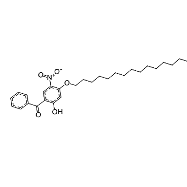 CCCCCCCCCCCCCCCOc1cc(O)c(C(=O)c2ccccc2)cc1[N+](=O)[O-]